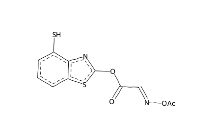 CC(=O)ON=CC(=O)Oc1nc2c(S)cccc2s1